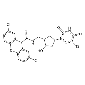 CCc1cn(C2CC(O)C(CNC(=O)C3c4cc(Cl)ccc4Oc4ccc(Cl)cc43)C2)c(=O)[nH]c1=O